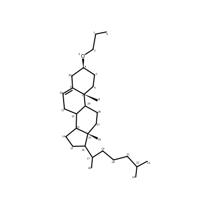 CCCO[C@H]1CC[C@@]2(C)C(=CCC3C4CCC(C(C)CCCC(C)C)[C@@]4(C)CCC32)C1